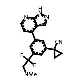 CNCC(F)(F)c1cc(-c2ccnc3[nH]ncc23)cc(C2(C#N)CC2)c1